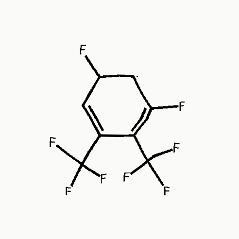 FC1=C(C(F)(F)F)C(C(F)(F)F)=CC(F)[CH]1